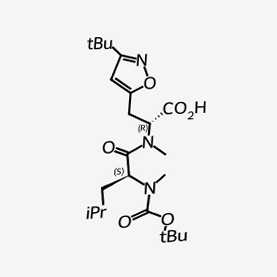 CC(C)C[C@@H](C(=O)N(C)[C@H](Cc1cc(C(C)(C)C)no1)C(=O)O)N(C)C(=O)OC(C)(C)C